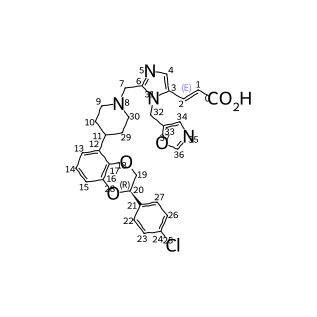 O=C(O)/C=C/c1cnc(CN2CCC(c3cccc4c3OC[C@@H](c3ccc(Cl)cc3)O4)CC2)n1Cc1cnco1